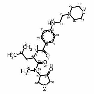 CC(C)CC(NC(=O)c1ccc(NCCN2CCOCC2)cc1)C(=O)N(C)C1COCC1=O